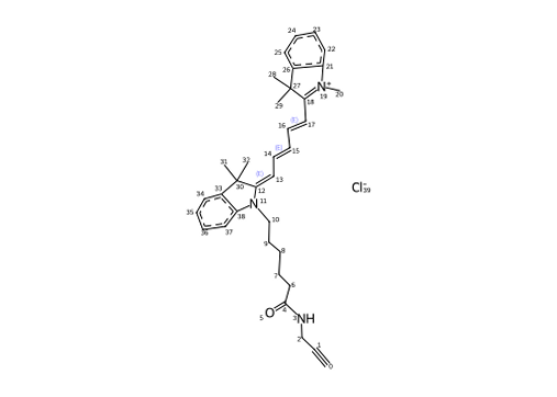 C#CCNC(=O)CCCCCN1/C(=C/C=C/C=C/C2=[N+](C)c3ccccc3C2(C)C)C(C)(C)c2ccccc21.[Cl-]